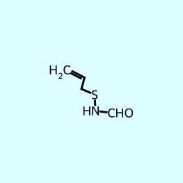 C=CCSNC=O